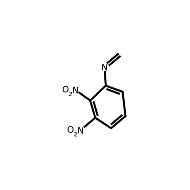 C=Nc1cccc([N+](=O)[O-])c1[N+](=O)[O-]